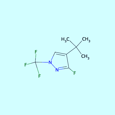 CC(C)(C)c1cn(C(F)(F)F)nc1F